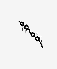 C=CCCOc1ccc(-c2ccc(CCc3ccc(C4=CCC(C)CC4)c(F)c3F)cc2)c(F)c1F